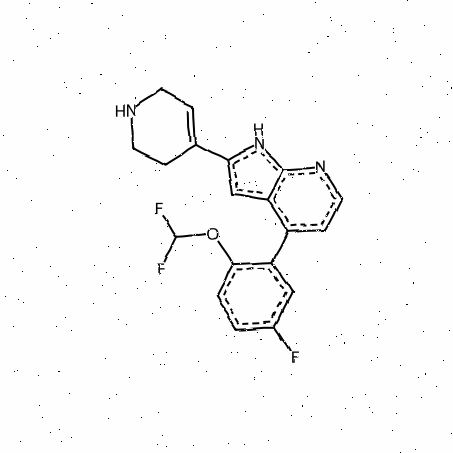 Fc1ccc(OC(F)F)c(-c2ccnc3[nH]c(C4=CCNCC4)cc23)c1